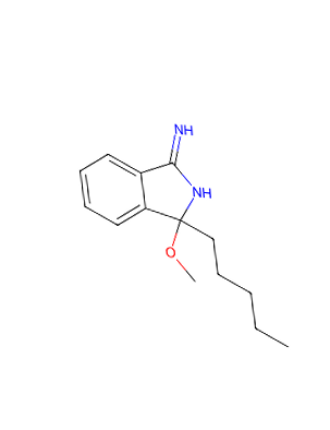 CCCCCC1(OC)NC(=N)c2ccccc21